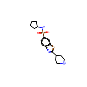 O=S(=O)(NC1CCCC1)c1ccc2nc(C3CCNCC3)sc2c1